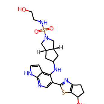 O=S(=O)(NCCO)N1C[C@H]2CC(Nc3c(-c4nc5c(s4)C(O)CC5)cnc4[nH]ccc34)C[C@H]2C1